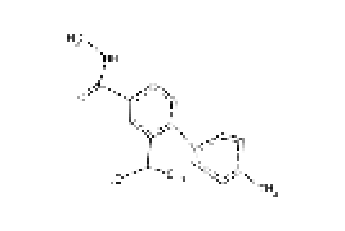 CNC(=O)c1ccc(-c2ccc(C)cc2)c(C(C)C)c1